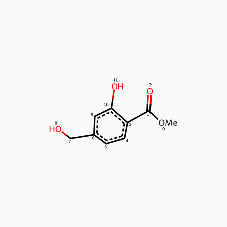 COC(=O)c1ccc(CO)cc1O